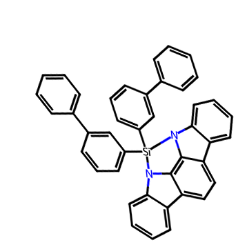 c1ccc(-c2cccc([Si]3(c4cccc(-c5ccccc5)c4)n4c5ccccc5c5ccc6c7ccccc7n3c6c54)c2)cc1